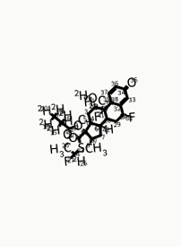 [2H]O[C@H]1C[C@@]2(C)[C@@H](C[C@@H](C)[C@]2(OC(=O)C([2H])([2H])C([2H])([2H])[2H])C(=O)SC([2H])(C)F)C2C[C@H](F)C3=CC(=O)C=C[C@]3(C)[C@]21F